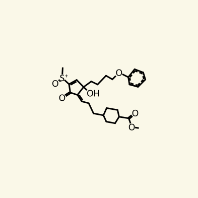 COC(=O)C1CCC(CCC=C2C(=O)C([S+](C)[O-])=CC2(O)CCCCOc2ccccc2)CC1